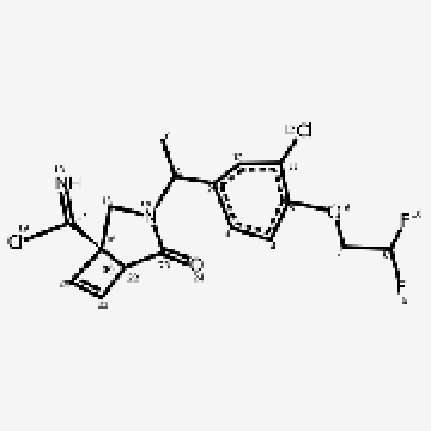 CC(c1ccc(OCC(F)F)c(Cl)c1)N1C[C@@]2(C(=N)Cl)C=CC2C1=O